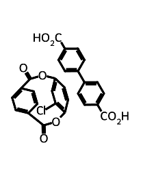 O=C(O)c1ccc(-c2ccc(C(=O)O)cc2)cc1.O=C1Oc2ccc(c(Cl)c2)OC(=O)c2ccc1cc2